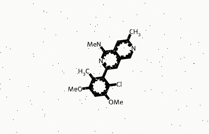 CNc1nc(-c2c(C)c(OC)cc(OC)c2Cl)cc2cnc(C)cc12